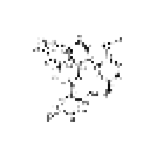 COc1ccc(F)cc1-c1ccc2c(c1CNc1cc(F)ccc1C)C(C)=CC(C)(C)N2